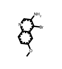 COc1ccc2ncc(N)c(Br)c2c1